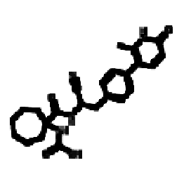 Cc1[nH]c(=O)ccc1-c1ccc(CC(C#N)NC(=O)C2(NC(=O)O)CCCCCC2)cc1